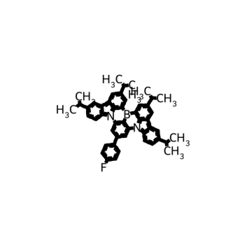 CC(C)c1ccc2c(c1)c1cc(C(C)C)cc3c1n2-c1cc(-c2ccc(F)cc2)cc2c1B3c1cc(C(C)C)cc3c4cc(C(C)C)ccc4n-2c13